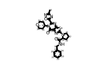 Cc1noc(-c2nc3sc(N4CCCC4C(=O)NCc4ccccc4)nc3c(=O)n2C2CCOCC2)n1